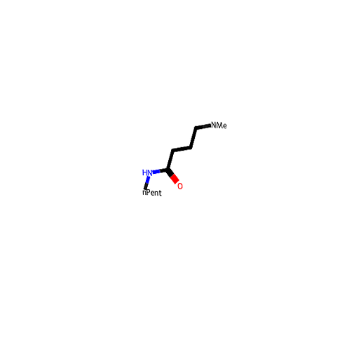 CCCCCNC(=O)CCCNC